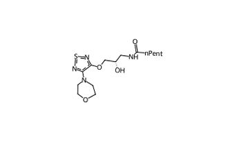 CCCCCC(=O)NC[C@H](O)COc1nsnc1N1CCOCC1